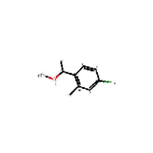 CCCOC(C)c1ccc(F)cc1C